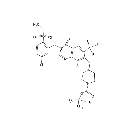 CCS(=O)(=O)c1ccc(Cl)cc1Cn1cnc2c(Cl)c(CN3CCN(C(=O)OC(C)(C)C)CC3)c(C(F)(F)F)cc2c1=O